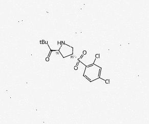 CC(C)(C)C(=O)[C@@H]1C[C@@H](S(=O)(=O)c2ccc(Cl)cc2Cl)CN1